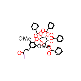 COc1cc(C=CC(=O)I)cc(OC)c1O[C@H]1O[C@H](COC(=O)c2ccccc2)[C@@H](OC(=O)c2ccccc2)[C@H](OC(=O)c2ccccc2)[C@@H]1OC(=O)c1ccccc1